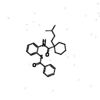 CC(C)CCC1(C(=O)Nc2ccccc2SC(=O)c2ccccc2)CCCCC1